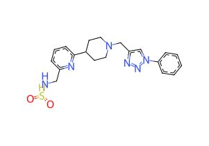 O=[SH](=O)NCc1cccc(C2CCN(Cc3cn(-c4ccccc4)nn3)CC2)n1